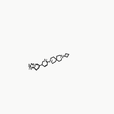 C1=CC(c2ccc3nncn3c2)CN=C1N1CCC2(CC1)CCN(C1CCC1)CC2